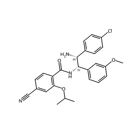 COc1cccc([C@H](NC(=O)c2ccc(C#N)cc2OC(C)C)[C@H](N)c2ccc(Cl)cc2)c1